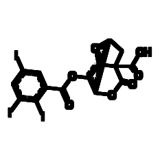 O=C(Oc1c2oc3c1OC(=O)C2(C(=O)O)C3)c1cc(I)cc(I)c1I